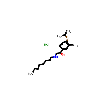 CCCCCCCCNCC(O)c1ccc(SC(C)C)c(C)c1.Cl